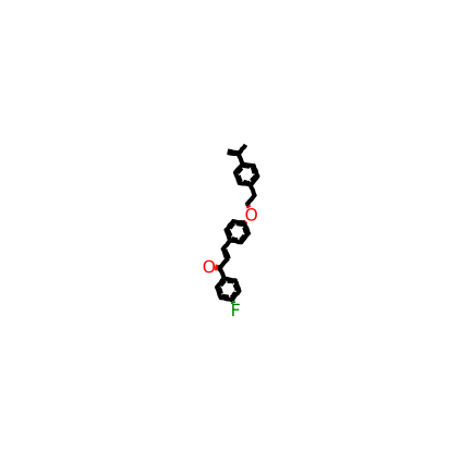 C=C(C)c1ccc(CCOc2ccc(/C=C/C(=O)c3ccc(F)cc3)cc2)cc1